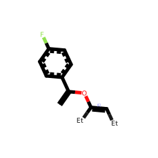 C=C(O/C(=C/CC)CC)c1ccc(F)cc1